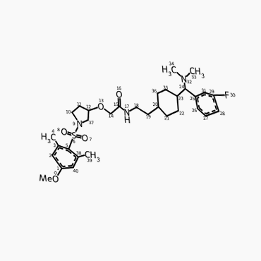 COc1cc(C)c(S(=O)(=O)N2CCC(OCC(=O)NCCC3CCC(C(c4cccc(F)c4)N(C)C)CC3)C2)c(C)c1